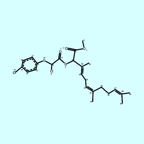 COC(=O)C(OC(=O)C(Cl)Oc1ccc(Cl)cc1)C(C)=CCC=C(C)CCC=C(C)C